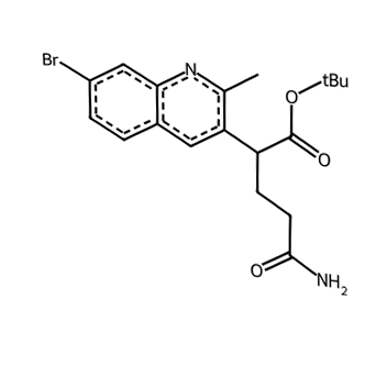 Cc1nc2cc(Br)ccc2cc1C(CCC(N)=O)C(=O)OC(C)(C)C